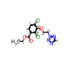 CCOC(=O)c1ccc(Cl)c(OCCn2ncnn2)c1Cl